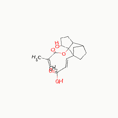 C=C(C)C(=O)OC12C(O)CCC1C1CCC2(C=CC(=O)O)C1